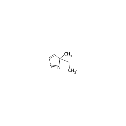 [CH2]CC1(C)C=CN=N1